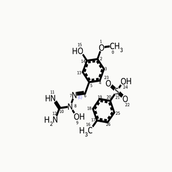 COc1ccc(/C=N/N(O)C(=N)N)cc1O.Cc1ccc(S(=O)(=O)O)cc1